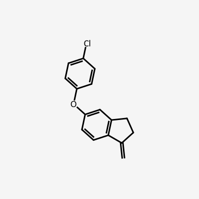 C=C1CCc2cc(Oc3ccc(Cl)cc3)ccc21